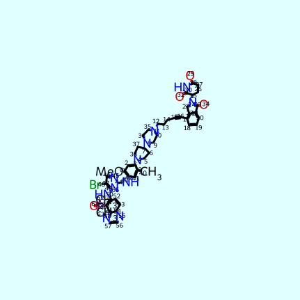 COc1cc(N2CCC(N3CCN(CCCC#Cc4cccc5c4CN(C4CCC(=O)NC4=O)C5=O)CC3)CC2)c(C)cc1Nc1ncc(Br)c(Nc2ccc3nccnc3c2P(C)(C)=O)n1